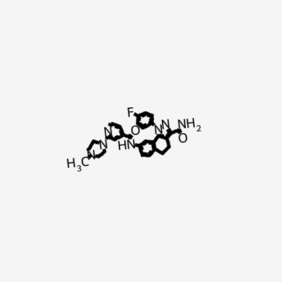 CN1CCN(c2cc(C(=O)Nc3ccc4c(c3)-c3c(c(C(N)=O)nn3-c3ccc(F)cc3)CC4)ccn2)CC1